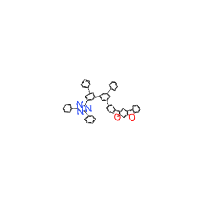 c1ccc(-c2cc(-c3cc(-c4ccccc4)cc(-c4nc(-c5ccccc5)nc(-c5ccccc5)n4)c3)cc(-c3ccc4oc5cc6oc7ccccc7c6cc5c4c3)c2)cc1